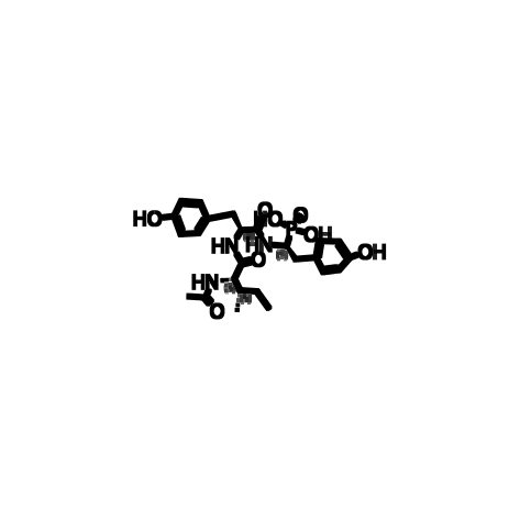 CC[C@H](C)[C@H](NC(C)=O)C(=O)N[C@@H](Cc1ccc(O)cc1)C(=O)N[C@H](Cc1ccc(O)cc1)P(=O)(O)O